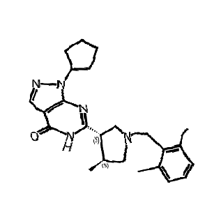 Cc1cccc(C)c1CN1C[C@@H](C)[C@H](c2nc3c(cnn3C3CCCC3)c(=O)[nH]2)C1